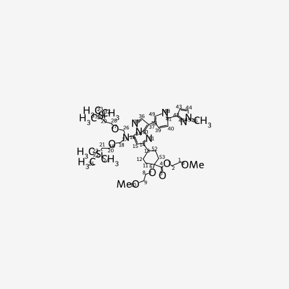 COCCOC(=O)C1(OCCOC)CCC(c2cc(N(COCC[Si](C)(C)C)COCC[Si](C)(C)C)n3ncc(-c4ccc(-c5ccn(C)n5)nc4)c3n2)CC1